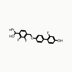 CCCC(O)c1ccc(COc2ccc(-c3ccc(O)cc3F)cc2)c(F)c1F